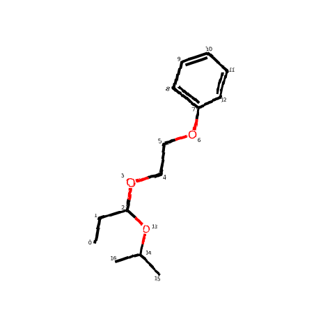 CCC(OCCOc1ccccc1)OC(C)C